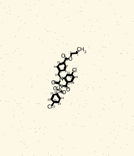 C=CCOC(=O)c1ccc(Cn2c(=O)n(S(=O)(=O)c3ccc(Cl)cc3)c(=O)c3ccc(Cl)cc32)cc1